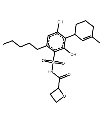 CCCCCc1cc(O)c(C2C=C(C)CCC2)c(O)c1S(=O)(=O)NC(=O)C1CCO1